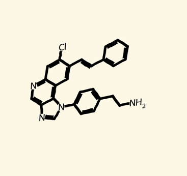 NCCc1ccc(-n2cnc3cnc4cc(Cl)c(C=Cc5ccccc5)cc4c32)cc1